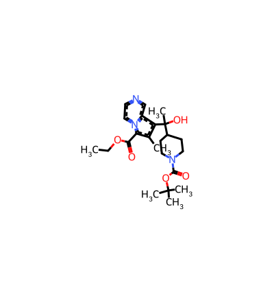 CCOC(=O)c1c(C)c(C(C)(O)C2CCN(C(=O)OC(C)(C)C)CC2)c2cnccn12